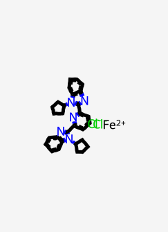 [Cl-].[Cl-].[Fe+2].c1cc(-c2nc3ccccc3n2C2CCCC2)nc(-c2nc3ccccc3n2C2CCCC2)c1